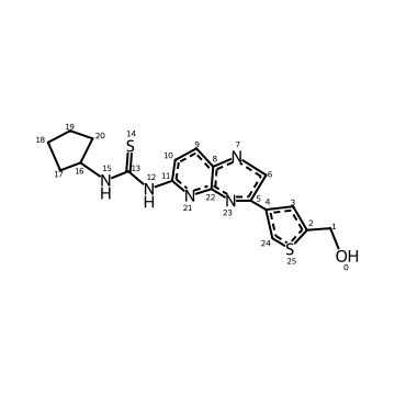 OCc1cc(-c2cnc3ccc(NC(=S)NC4CCCC4)nc3n2)cs1